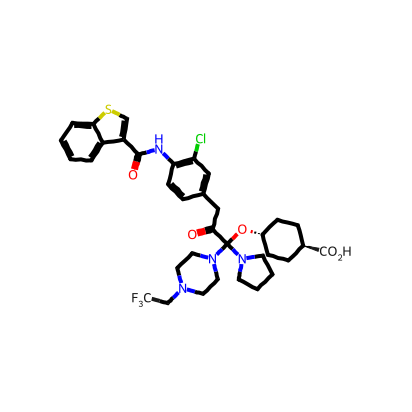 O=C(Nc1ccc(CC(=O)C(O[C@H]2CC[C@H](C(=O)O)CC2)(N2CCCC2)N2CCN(CC(F)(F)F)CC2)cc1Cl)c1csc2ccccc12